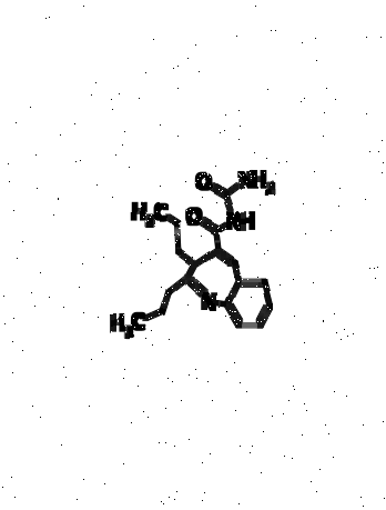 CCCC1=Nc2ccccc2C=C(C(=O)NC(N)=O)C1CCC